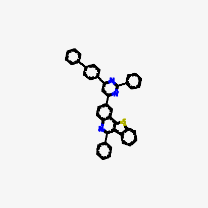 c1ccc(-c2ccc(-c3cc(-c4ccc5nc(-c6ccccc6)c6c7ccccc7sc6c5c4)nc(-c4ccccc4)n3)cc2)cc1